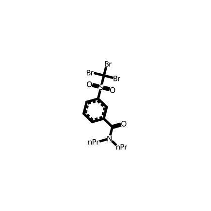 CCCN(CCC)C(=O)c1cccc(S(=O)(=O)C(Br)(Br)Br)c1